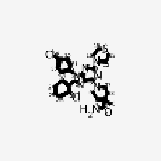 CC1(C(N)=O)CCN(c2nc(N3CCSCC3)nc3c2nc(-c2ccccc2Cl)n3-c2ccc(Cl)cc2)CC1